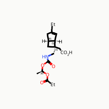 CCC(=O)O[C@@H](C)OC(=O)NC[C@]1(CC(=O)O)C[C@H]2CC(CC)=C[C@H]21